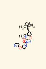 CN1C(=O)C(NC(=O)c2cc(Oc3cccnc3)ccn2)COc2ccc(C#CC(C)(C)C)cc21